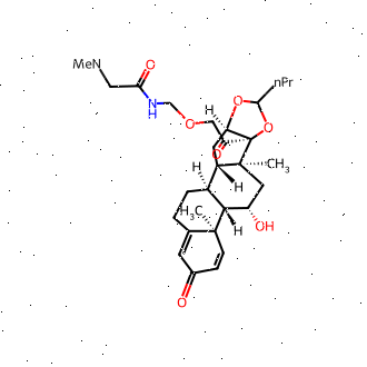 CCCC1O[C@@H]2C[C@H]3[C@@H]4CCC5=CC(=O)C=C[C@]5(C)[C@H]4[C@@H](O)C[C@]3(C)[C@]2(C(=O)COCNC(=O)CNC)O1